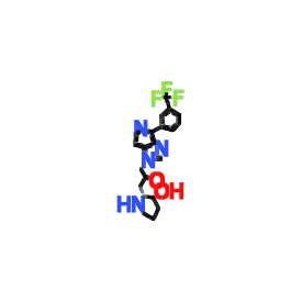 O=C(C[C@H]1NCCC[C@@H]1O)Cn1cnc2c(-c3cccc(C(F)(F)F)c3)nccc21